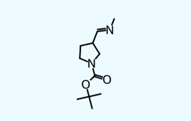 C/N=C/C1CCN(C(=O)OC(C)(C)C)C1